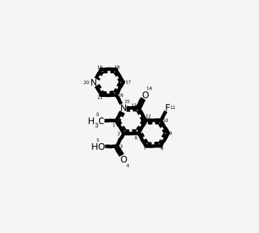 Cc1c(C(=O)O)c2cccc(F)c2c(=O)n1-c1cccnc1